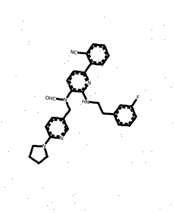 N#Cc1ccccc1-c1ccc(N(C=O)Cc2ccc(N3CCCC3)nc2)c(NCCc2cccc(F)c2)n1